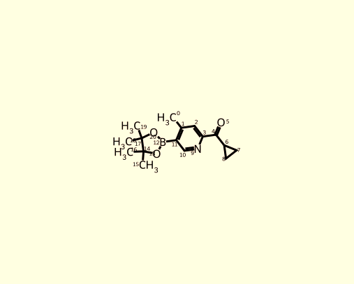 Cc1cc(C(=O)C2CC2)ncc1B1OC(C)(C)C(C)(C)O1